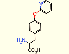 N[C@@H](Cc1ccc(Oc2ccccn2)cc1)C(=O)O